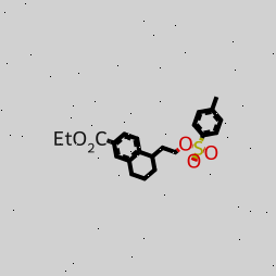 CCOC(=O)c1ccc2c(c1)CCCC2CCOS(=O)(=O)c1ccc(C)cc1